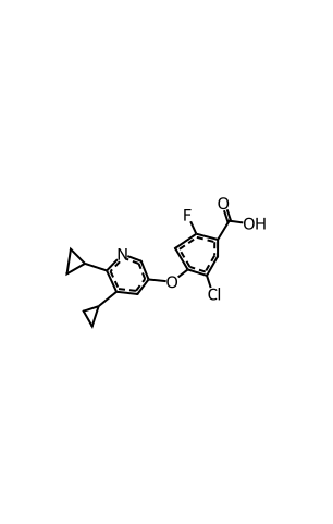 O=C(O)c1cc(Cl)c(Oc2cnc(C3CC3)c(C3CC3)c2)cc1F